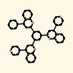 c1ccc(-c2cc(-c3cc(-c4cc(-c5ccncc5)c5ccccc5n4)cc(-c4cc(-c5ccncc5)c5ccccc5n4)c3)nc3ccccc23)cc1